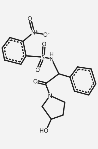 O=C(C(NS(=O)(=O)c1ccccc1[N+](=O)[O-])c1ccccc1)N1CCC(O)C1